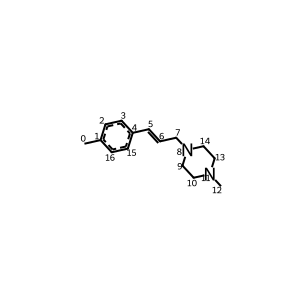 Cc1ccc(/C=C/CN2CCN(C)CC2)cc1